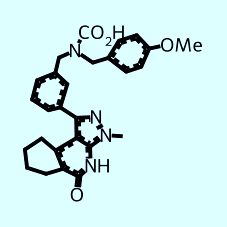 COc1ccc(CN(Cc2cccc(-c3nn(C)c4[nH]c(=O)c5c(c34)CCCC5)c2)C(=O)O)cc1